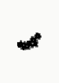 C[C@H]1c2oncc2C[C@@]2(C)c3nn(-c4ccc(-c5ccccc5)cc4)c(CC4CCC4)c3CC[C@H]12